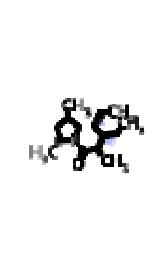 C/C=C\C(=C/C)C(C)C(=O)N1CC(C)C[C@H]1C